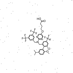 COc1ccc(C(C)C)cc1-c1c(Cl)cc(C(F)(F)F)cc1CN(Cc1cc(C(F)(F)F)cc(C(F)(F)F)c1)c1ncc(OCCCC(=O)O)cn1